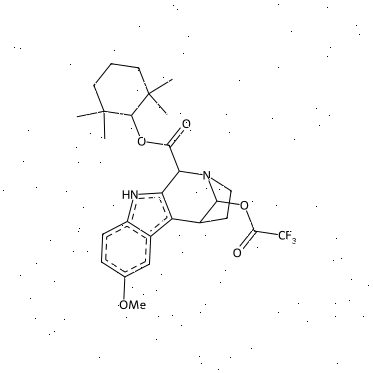 COc1ccc2[nH]c3c(c2c1)C1CCN(C3C(=O)OC2C(C)(C)CCCC2(C)C)C1OC(=O)C(F)(F)F